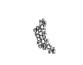 O=[N+]([O-])c1c(F)c(Cl)c(Oc2c(F)c(-c3ccc(C(F)(F)F)cc3)c([N+](=O)[O-])c(F)c2Cl)c(F)c1-c1ccc(C(F)(F)F)cc1